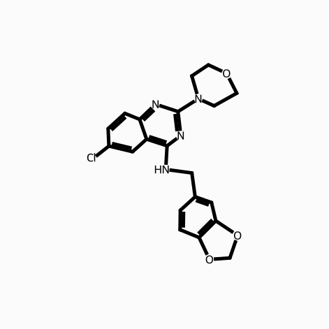 Clc1ccc2nc(N3CCOCC3)nc(NCc3ccc4c(c3)OCO4)c2c1